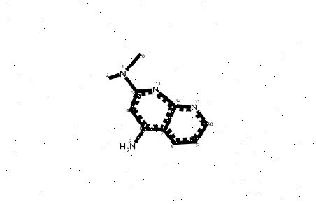 CN(C)c1cc(N)c2cccnc2n1